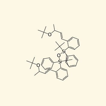 CC(C=Cc1ccccc1[Si](O[Si](c1ccccc1)(c1ccccc1C=CC(C)OC(C)(C)C)C(C)(C)C)(c1ccccc1)C(C)(C)C)OC(C)(C)C